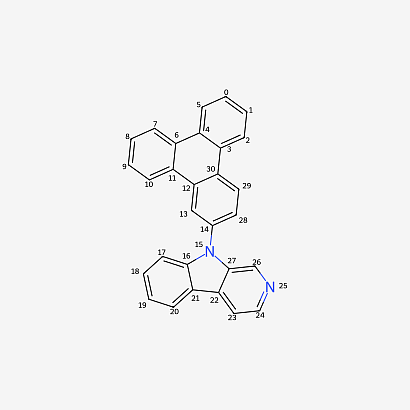 c1ccc2c(c1)c1ccccc1c1cc(-n3c4ccccc4c4ccncc43)ccc21